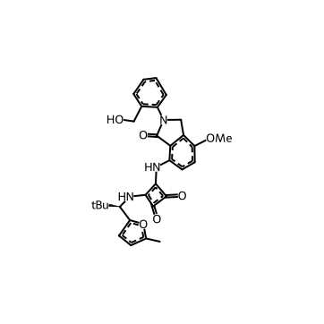 COc1ccc(Nc2c(N[C@@H](c3ccc(C)o3)C(C)(C)C)c(=O)c2=O)c2c1CN(c1ccccc1CO)C2=O